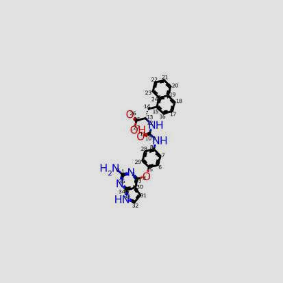 Nc1nc(Oc2ccc(NC(=O)N[C@@H](Cc3cccc4ccccc34)C(=O)O)cc2)c2cc[nH]c2n1